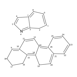 C1=CCC2=NC=CC2=C1.C1=c2ccc3c(c2CCC1)CC=c1ccccc1=3